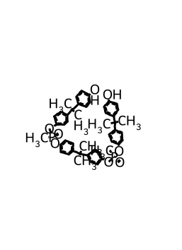 CC(C)(c1ccc(O)cc1)c1ccc(OP(C)(=O)Oc2ccc(C(C)(C)c3ccc(OP(C)(=O)Oc4ccc(C(C)(C)c5ccc(O)cc5)cc4)cc3)cc2)cc1